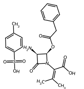 CC(C)=C(C(=O)O)N1C(=O)[C@@H](N)[C@H]1OC(=O)Cc1ccccc1.Cc1ccc(S(=O)(=O)O)cc1